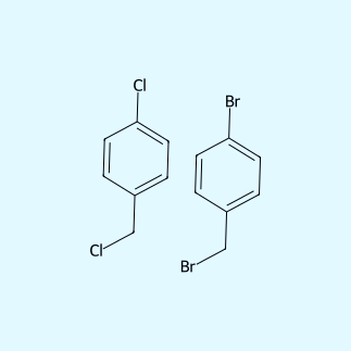 BrCc1ccc(Br)cc1.ClCc1ccc(Cl)cc1